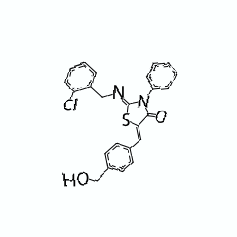 O=C1/C(=C/c2ccc(CO)cc2)S/C(=N\Cc2ccccc2Cl)N1c1ccccc1